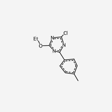 CCOc1nc(Cl)nc(-c2ccc(C)cc2)n1